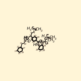 CN(C)CCC(NC(=O)NCCc1ccccc1)c1ccc(C(=O)Nc2ccccc2NC(=O)OC(C)(C)C)cc1